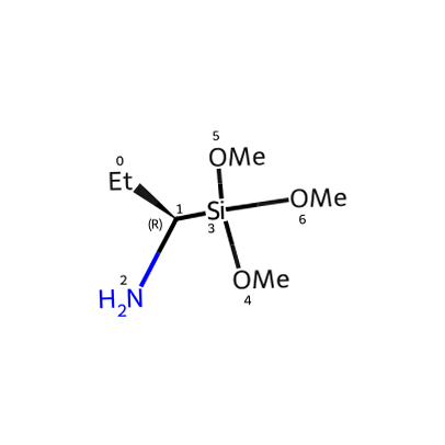 CC[C@H](N)[Si](OC)(OC)OC